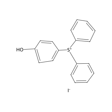 Oc1ccc([S+](c2ccccc2)c2ccccc2)cc1.[I-]